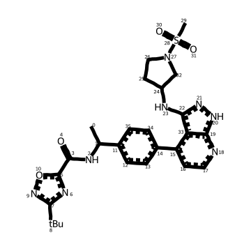 CC(NC(=O)c1nc(C(C)(C)C)no1)c1ccc(-c2ccnc3[nH]nc(NC4CCN(S(C)(=O)=O)C4)c23)cc1